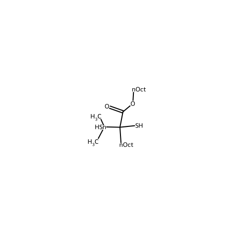 CCCCCCCCOC(=O)[C](S)(CCCCCCCC)[SnH]([CH3])[CH3]